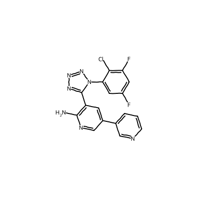 Nc1ncc(-c2cccnc2)cc1-c1nnnn1-c1cc(F)cc(F)c1Cl